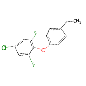 CCc1ccc(Oc2c(F)cc(Cl)cc2F)cc1